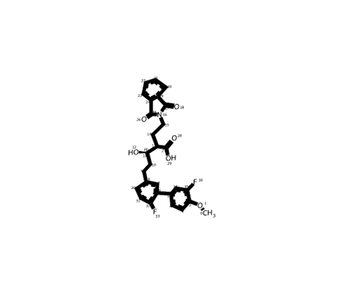 COc1ccc(-c2cc(CC[C@@H](O)C(CCN3C(=O)c4ccccc4C3=O)C(=O)O)ccc2F)cc1F